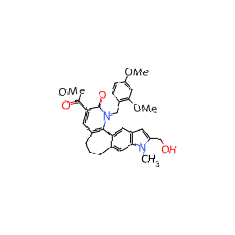 COC(=O)c1cc2c(n(Cc3ccc(OC)cc3OC)c1=O)-c1cc3cc(CO)n(C)c3cc1CCC2